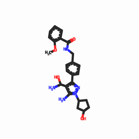 COc1ccccc1C(=O)NCc1ccc(-c2nn(C3CCC(O)C3)c(N)c2C(N)O)cc1